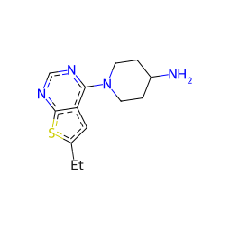 CCc1cc2c(N3CCC(N)CC3)ncnc2s1